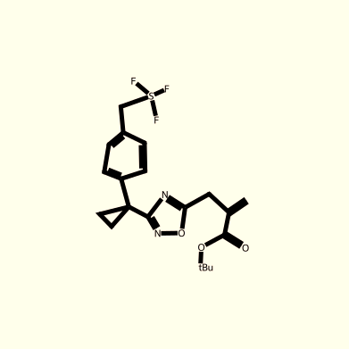 C=C(Cc1nc(C2(c3ccc(CS(F)(F)F)cc3)CC2)no1)C(=O)OC(C)(C)C